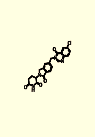 O=C1CCC(N2Cc3cc(Cn4cnc5ccc(Cl)cc5c4=O)ccc3C2=O)C(=O)N1